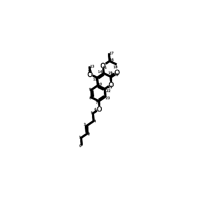 CCC=CCCOc1ccc2c(OC)c(OC(C)C)c(=O)oc2c1